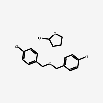 CC1CCCO1.Clc1ccc(COCc2ccc(Cl)cc2)cc1